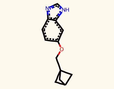 c1nc2ccc(OCC34CC(C3)C4)cc2[nH]1